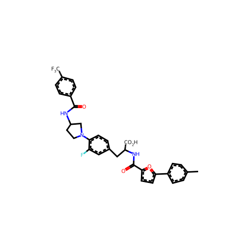 Cc1ccc(-c2ccc(C(=O)NC(Cc3ccc(N4CCC(NC(=O)c5ccc(C(F)(F)F)cc5)C4)c(F)c3)C(=O)O)o2)cc1